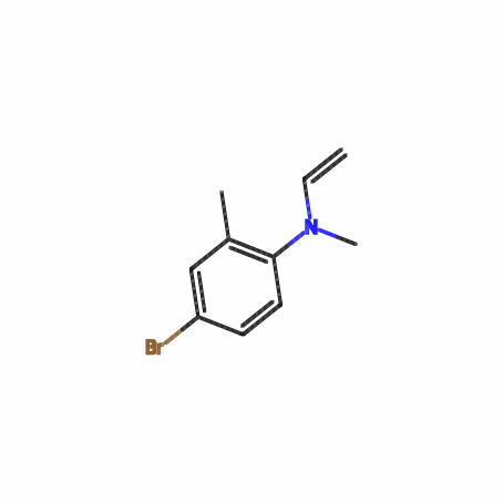 C=CN(C)c1ccc(Br)cc1C